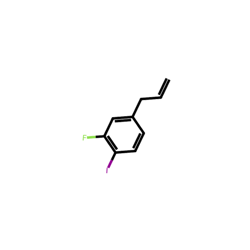 C=CCc1ccc(I)c(F)c1